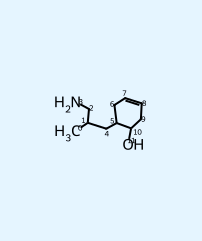 CC(CN)CC1CC=CCC1O